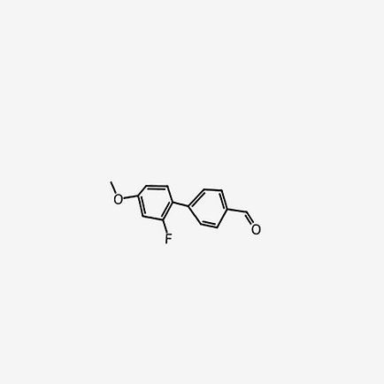 COc1ccc(-c2ccc(C=O)cc2)c(F)c1